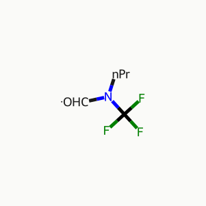 CCCN([C]=O)C(F)(F)F